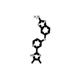 Cc1nc(-c2cc(Oc3ccc4nc(N)sc4c3)ccn2)[nH]c1C